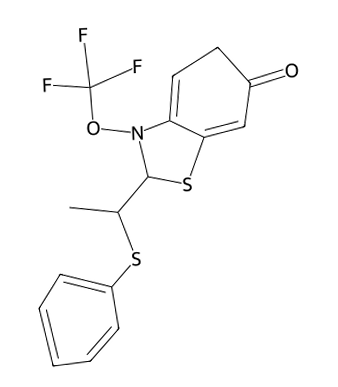 CC(Sc1ccccc1)C1SC2=CC(=O)CC=C2N1OC(F)(F)F